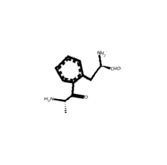 C[C@H](N)C(=O)c1ccccc1C[C@@H](N)[C]=O